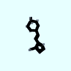 Fc1ccsc1C=CC1CCNCC1